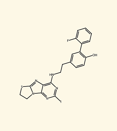 Oc1ccc(CCNc2nc(I)nc3c2nc2n3CCS2)cc1-c1ccccc1F